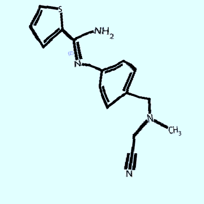 CN(CC#N)Cc1ccc(/N=C(\N)c2cccs2)cc1